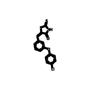 O=C1NC(=S)SC1=Cc1cccc(Oc2ccc(Cl)cc2)c1